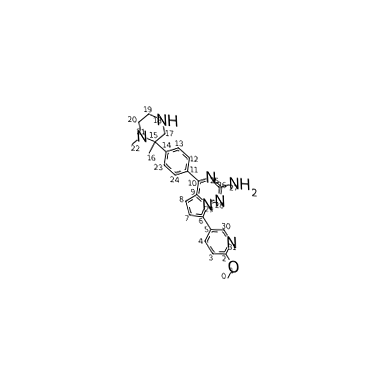 COc1ccc(-c2ccc3c(-c4ccc(C5(C)CNCCN5C)cc4)nc(N)nn23)cn1